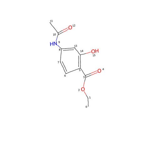 CCOC(=O)c1ccc(NC(C)=O)cc1O